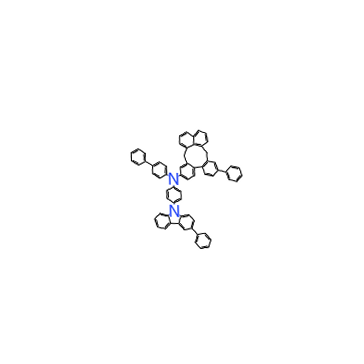 c1ccc(-c2ccc(N(c3ccc(-n4c5ccccc5c5cc(-c6ccccc6)ccc54)cc3)c3ccc4c(c3)Cc3cccc5cccc(c35)Cc3cc(-c5ccccc5)ccc3-4)cc2)cc1